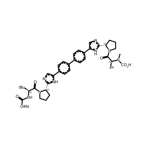 COC(=O)N[C@H](C(=O)N1CCC[C@H]1c1ncc(-c2ccc(-c3ccc(-c4cnc([C@@H]5CCCN5C(=O)[C@H](C(C)C)N(C)C(=O)O)[nH]4)cc3)cc2)[nH]1)C(C)(C)C